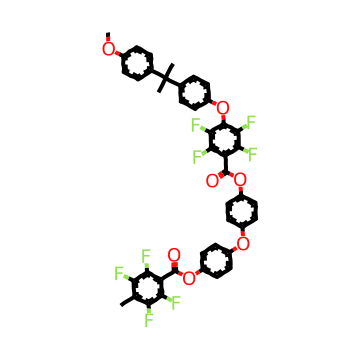 COc1ccc(C(C)(C)c2ccc(Oc3c(F)c(F)c(C(=O)Oc4ccc(Oc5ccc(OC(=O)c6c(F)c(F)c(C)c(F)c6F)cc5)cc4)c(F)c3F)cc2)cc1